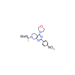 CNC(=S)N1CCc2c(nc(-c3ccc([N+](=O)[O-])cc3)nc2N2CCOCC2)C1